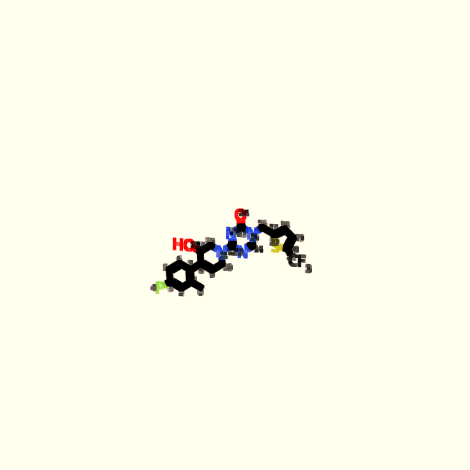 Cc1cc(F)ccc1C1=CCN(c2ncn(Cc3ccc(C(F)(F)F)s3)c(=O)n2)CC1O